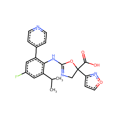 CC(C)c1cc(F)cc(-c2ccncc2)c1NC1=NCC(C(=O)O)(c2ccon2)O1